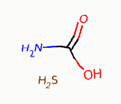 NC(=O)O.S